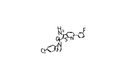 Nc1c(C(=O)Nc2ccc(Cl)cc2)sc2nc(-c3cccc(F)c3)ccc12